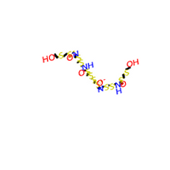 O=C(NCSCSC/N=C\[S+]([O-])CSCSCSC(=O)NCSCSC/N=C\[S+]([O-])CCSCCO)SCCSCCO